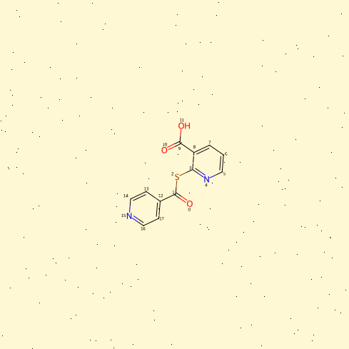 O=C(Sc1ncccc1C(=O)O)c1ccncc1